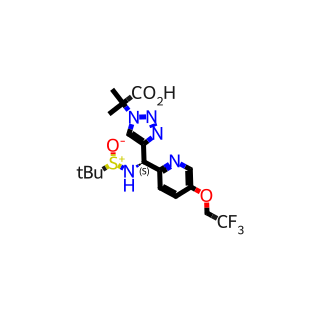 CC(C)(C(=O)O)n1cc([C@@H](N[S+]([O-])C(C)(C)C)c2ccc(OCC(F)(F)F)cn2)nn1